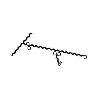 CCCCCCCCC(CCCCCC)COC(=O)CCCCCCCCCCCC(CCCCCCCCCCCCC=O)OC(=O)CCCN(C)C